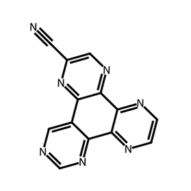 N#Cc1cnc2c(n1)c1cncnc1c1nccnc12